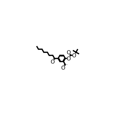 CCCCCCCC(=O)c1ccc(OC(=O)OC(C)(C)C)c([C]=O)c1